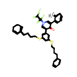 Cc1ccccc1-c1cn(C(F)(F)C(F)F)cc(-c2cc(SCCCCc3ccccc3)cc(SCCCCc3ccccc3)c2)c1=O